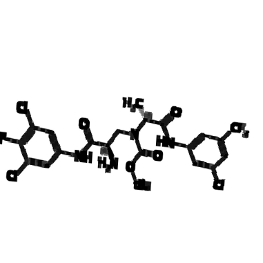 C[C@H](C(=O)Nc1cc(Cl)cc(C(F)(F)F)c1)N(C[C@@H](N)C(=O)Nc1cc(Cl)c(F)c(Cl)c1)C(=O)OC(C)(C)C